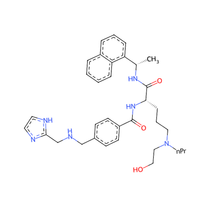 CCCN(CCO)CCC[C@H](NC(=O)c1ccc(CNCc2ncc[nH]2)cc1)C(=O)N[C@@H](C)c1cccc2ccccc12